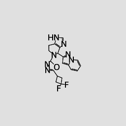 FC1(F)CC(c2nnc(N3CCc4[nH]cnc4C3c3cc4ccccn4n3)o2)C1